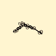 C=COCOc1ccc2cc(OCOc3ccc(OC(=O)c4ccc5cc(OCCCCCCOC(=O)C=C)ccc5c4)cc3CCC)ccc2c1